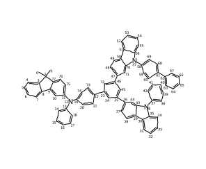 CC1(C)c2ccccc2-c2cc(N(c3ccccc3)c3ccc(-c4cc(-c5ccc6c7ccccc7n(-c7ccccc7)c6c5)cc(-c5ccc6c7ccccc7n(-c7ccc(-c8ccccc8)cc7)c6c5)c4)cc3)ccc21